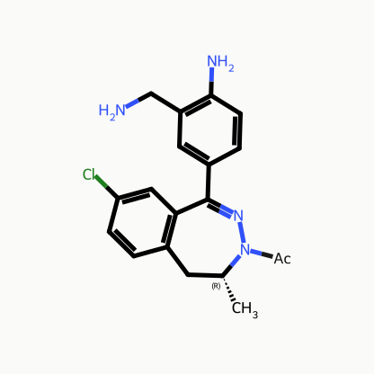 CC(=O)N1N=C(c2ccc(N)c(CN)c2)c2cc(Cl)ccc2C[C@H]1C